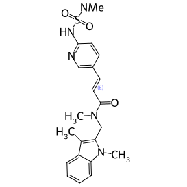 CNS(=O)(=O)Nc1ccc(/C=C/C(=O)N(C)Cc2c(C)c3ccccc3n2C)cn1